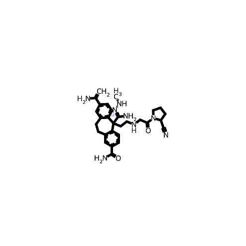 C=C(N)c1ccc2c(c1)CCc1cc(C(N)=O)ccc1C2(CCNCC(=O)N1CCCC1C#N)/C(N)=N/NC